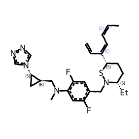 C=C/C(=C\C=C/C)[C@@H]1CC[C@H](CC)N(Cc2cc(F)c(N(C)C[C@H]3C[C@@H]3n3cnnc3)cc2F)S1